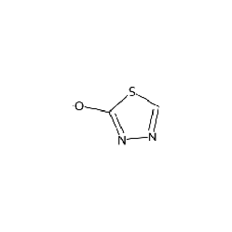 [O]c1nncs1